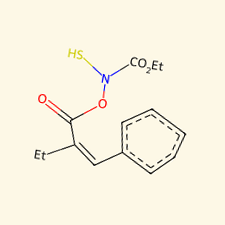 CCOC(=O)N(S)OC(=O)C(=Cc1ccccc1)CC